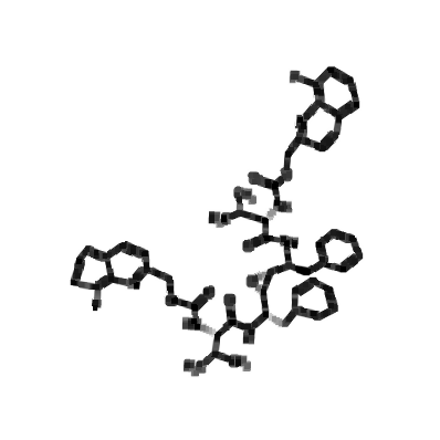 CC(C)[C@H](NC(=O)OCc1ccc2cccc(F)c2n1)C(=O)N[C@@H](Cc1ccccc1)[C@@H]1O[C@@H]1[C@H](Cc1ccccc1)NC(=O)[C@@H](NC(=O)OCc1ccc2cccc(F)c2n1)C(C)C